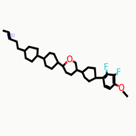 C/C=C/CCC1CCC(C2CCC(C3CCC(C4CCC(c5ccc(OCC)c(F)c5F)CC4)CO3)CC2)CC1